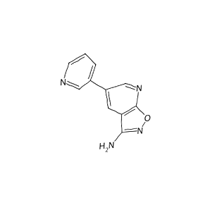 Nc1noc2ncc(-c3cccnc3)cc12